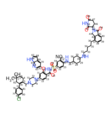 CC1(C)CCC(CN2CCN(c3ccc(C(=O)NS(=O)(=O)c4ccc(NCC5CCC(NCCCCCc6cccc7c6CN(C6CCC(=O)NC6=O)C7=O)CC5)c([N+](=O)[O-])c4)c(Oc4cnc5[nH]ccc5c4)c3)CC2)=C(c2ccc(Cl)cc2)C1